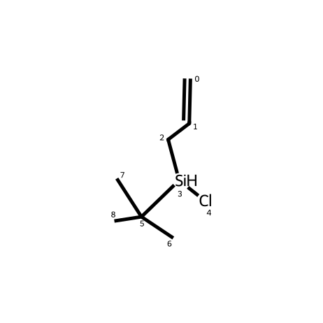 C=CC[SiH](Cl)C(C)(C)C